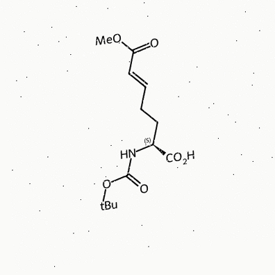 COC(=O)C=CCC[C@H](NC(=O)OC(C)(C)C)C(=O)O